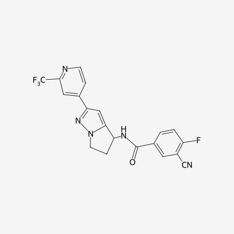 N#Cc1cc(C(=O)NC2CCn3nc(-c4ccnc(C(F)(F)F)c4)cc32)ccc1F